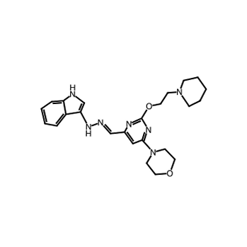 C(=N\Nc1c[nH]c2ccccc12)/c1cc(N2CCOCC2)nc(OCCN2CCCCC2)n1